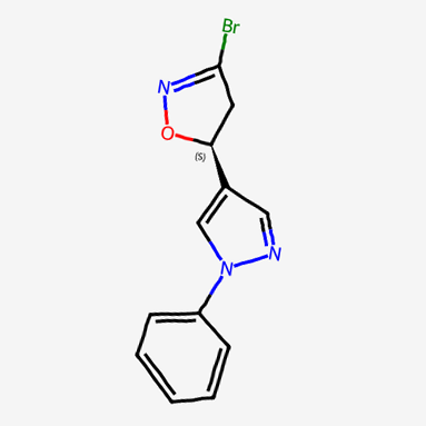 BrC1=NO[C@H](c2cnn(-c3ccccc3)c2)C1